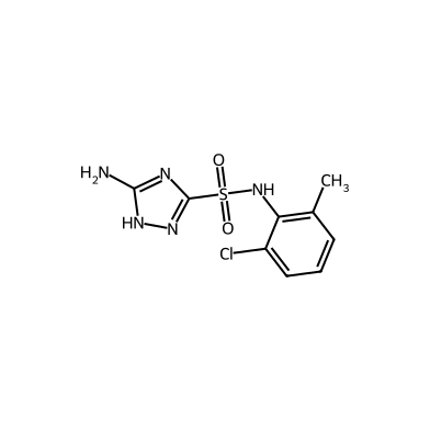 Cc1cccc(Cl)c1NS(=O)(=O)c1n[nH]c(N)n1